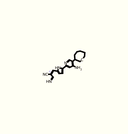 N#C/C(C=N)=C/c1ccc(-c2cc(N)c(C3CCCCCCC3)cn2)[nH]1